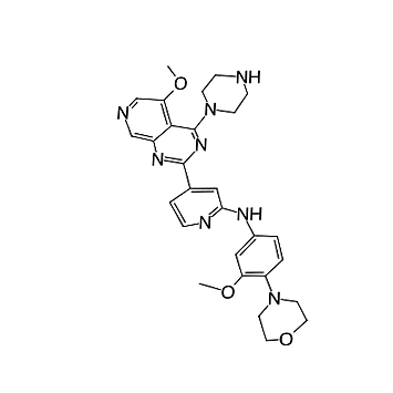 COc1cc(Nc2cc(-c3nc(N4CCNCC4)c4c(OC)cncc4n3)ccn2)ccc1N1CCOCC1